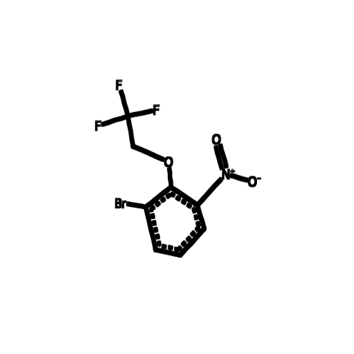 O=[N+]([O-])c1cccc(Br)c1OCC(F)(F)F